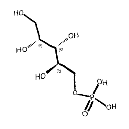 O=P(O)(O)OC[C@@H](O)[C@@H](O)[C@H](O)CO